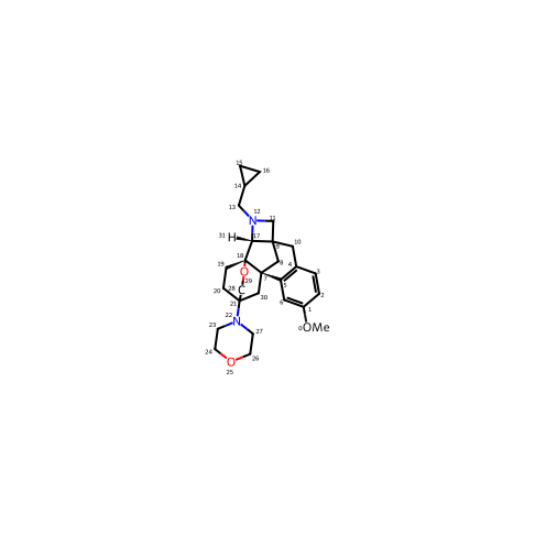 COc1ccc2c(c1)[C@]13CC4(C2)CN(CC2CC2)[C@H]4[C@]12CCC(N1CCOCC1)(CO2)C3